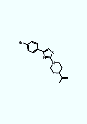 C=C(C)C1CCN(c2nc(-c3ccc(Br)cc3)cs2)CC1